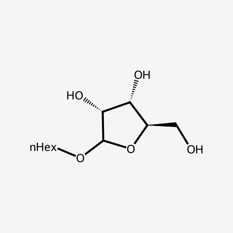 CCCCCCOC1O[C@H](CO)[C@@H](O)[C@H]1O